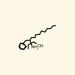 CCCCCCCCCCC(Cc1ccccc1)C(N)(CC)CC.Cl